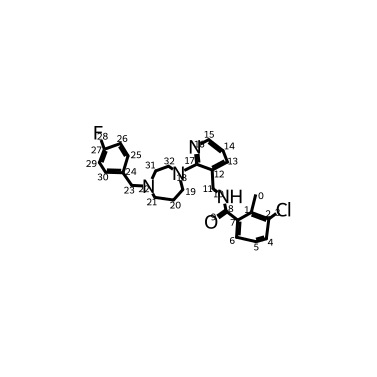 Cc1c(Cl)cccc1C(=O)NCc1cccnc1N1CCCN(Cc2ccc(F)cc2)CC1